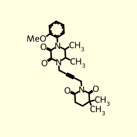 COc1ccccc1N1C(=O)C(=O)N(CC#CCN2C(=O)CCC(C)(C)C2=O)C(C)C1C